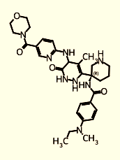 CCN(C)c1ccc(C(=O)N[C@]2(C3=C(C)C(Nc4ccc(C(=O)N5CCOCC5)cn4)C(=O)NN3)CCCNC2)cc1